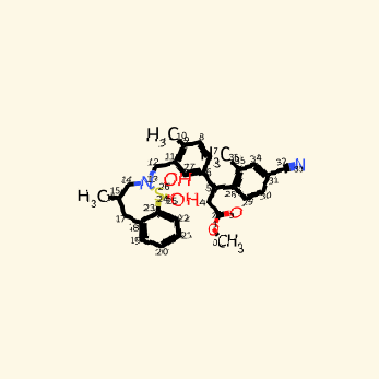 COC(=O)CC(c1ccc(C)c(CN2CC(C)Cc3ccccc3S2(O)O)c1)c1ccc(C#N)cc1C